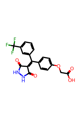 O=C(O)COc1ccc(C(=C2C(=O)NNC2=O)c2cccc(C(F)(F)F)c2)cc1